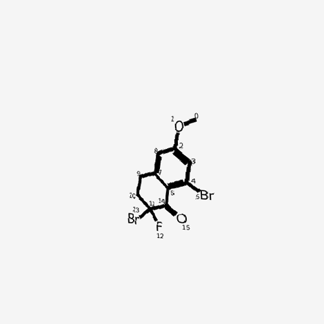 COc1cc(Br)c2c(c1)CCC(F)(Br)C2=O